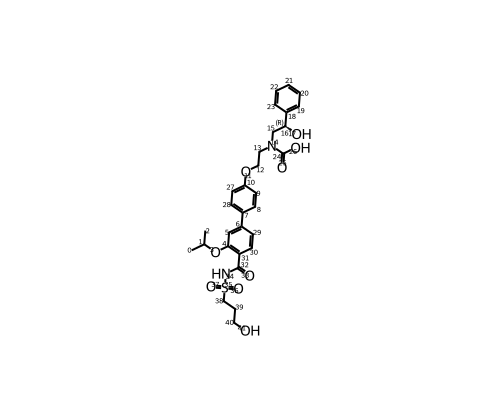 CC(C)Oc1cc(-c2ccc(OCCN(C[C@H](O)c3ccccc3)C(=O)O)cc2)ccc1C(=O)NS(=O)(=O)CCCO